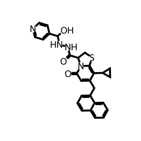 O=C(NNC(O)c1ccncc1)C1CSc2c(C3CC3)c(Cc3cccc4ccccc34)cc(=O)n21